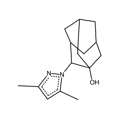 Cc1cc(C)n(C2C3CC4CC(C3)CC2(O)C4)n1